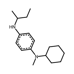 CCC(C)Nc1ccc(N(C)C2CCCCC2)cc1